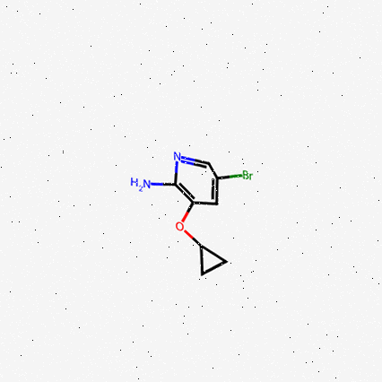 Nc1ncc(Br)cc1OC1CC1